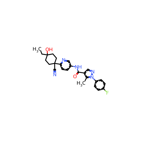 CCC1(O)CCC(C#N)(c2ccc(NC(=O)c3cnn(-c4ccc(F)cc4)c3C)cn2)CC1